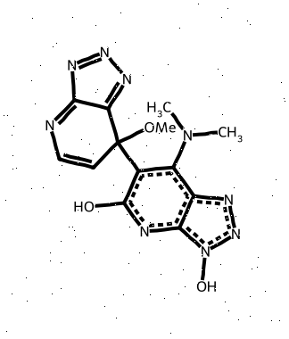 COC1(c2c(O)nc3c(nnn3O)c2N(C)C)C=CN=C2N=NN=C21